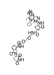 CC[C@@H]1c2nncn2-c2cnc(Nc3ccc(C(=O)NCCOCCOCC(=O)Nc4cccc5c4CN(C4CCC(=O)NC4=O)C5=O)cc3OC)nc2N1C1CCCC1